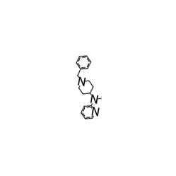 CN(c1ccccn1)C1CCN(Cc2ccccc2)CC1